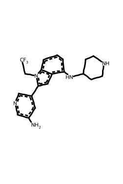 Nc1cncc(-c2cc3c(NC4CCNCC4)cccc3n2CC(F)(F)F)c1